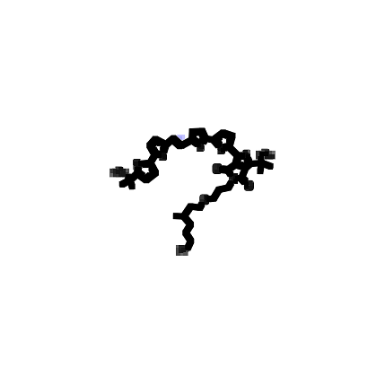 CCCCC(C)(C)c1ccc(-c2ccc(/C=C/c3ccc(-c4ccc(-c5sc(C(C)(C)CCCC)c6c5C(=O)N(CCCOCCC(C)CCCC(C)C)C6=O)s4)s3)s2)s1